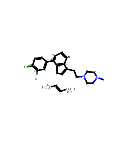 CN1CCN(CCC2=CCc3c2cccc3-c2ccc(Cl)c(Cl)c2)CC1.O=C(O)C=CC(=O)O